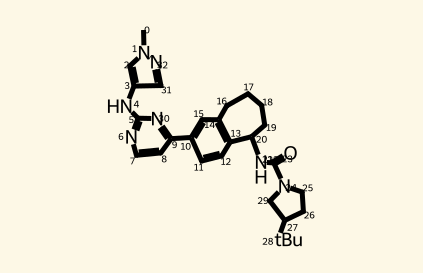 Cn1cc(Nc2nccc(-c3ccc4c(c3)CCCCC4NC(=O)N3CCC(C(C)(C)C)C3)n2)cn1